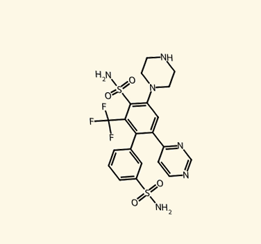 NS(=O)(=O)c1cccc(-c2c(-c3ccncn3)cc(N3CCNCC3)c(S(N)(=O)=O)c2C(F)(F)F)c1